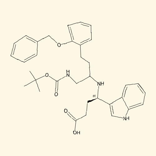 CC(C)(C)OC(=O)NCC(CCc1ccccc1OCc1ccccc1)N[C@H](CCC(=O)O)c1c[nH]c2ccccc12